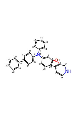 C1=Cc2c(oc3cc(N(c4ccccc4)c4ccc(-c5ccccc5)cc4)ccc23)CN1